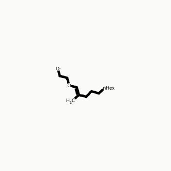 CCCCCCCCCC(C)=COCC[O]